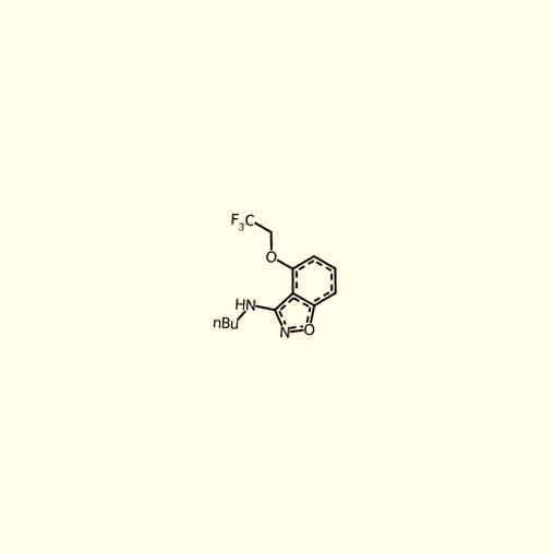 CCCCNc1noc2cccc(OCC(F)(F)F)c12